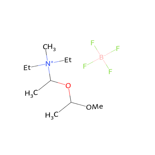 CC[N+](C)(CC)C(C)OC(C)OC.F[B-](F)(F)F